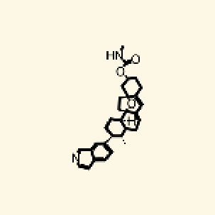 CNC(=O)O[C@H]1CCC2=CC3=CCC4[C@@H](CC[C@H](c5ccc6ccncc6c5)[C@H]4C)[C@@]34CC[C@]2(C1)O4